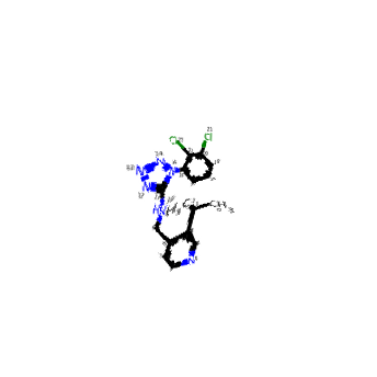 CC(C)c1cnccc1CNc1nnnn1-c1cccc(Cl)c1Cl